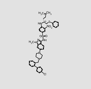 CN(C)CC[C@H](CSc1ccccc1)Nc1ccc(S(=O)(=O)Nc2nn(C)c3cc(N4CCN(Cc5ccccc5-c5ccc(Cl)cc5)CC4)ccc23)cc1[N+](=O)[O-]